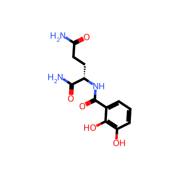 NC(=O)CC[C@H](NC(=O)c1cccc(O)c1O)C(N)=O